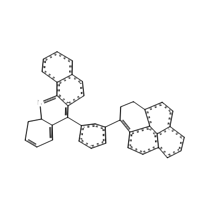 C1=CCC2N=c3c(ccc4ccccc34)=C(c3cccc(C4=c5ccc6cccc7ccc(c5c76)CC4)c3)C2=C1